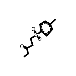 CCC(=O)CCS(=O)(=O)c1ccc(C)cc1